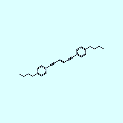 CCCCc1ccc(C#C/C=C/C#Cc2ccc(CCCC)cc2)cc1